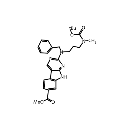 COC(=O)c1ccc2c(c1)[nH]c1nc(N(CCCN(C)C(=O)OC(C)(C)C)Cc3ccccc3)ncc12